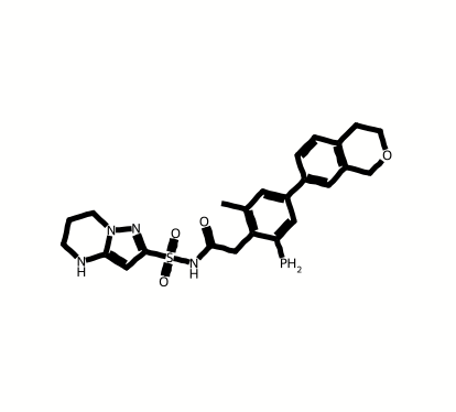 Cc1cc(-c2ccc3c(c2)COCC3)cc(P)c1CC(=O)NS(=O)(=O)c1cc2n(n1)CCCN2